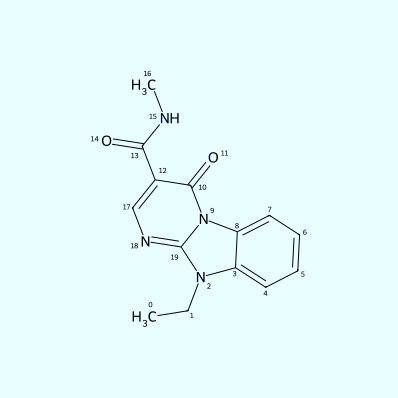 CCn1c2ccccc2n2c(=O)c(C(=O)NC)cnc12